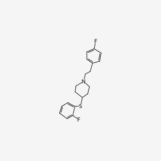 Fc1ccc(CCN2CCC(Sc3ccccc3F)CC2)cc1